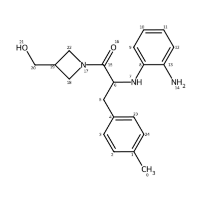 Cc1ccc(CC(Nc2ccccc2N)C(=O)N2CC(CO)C2)cc1